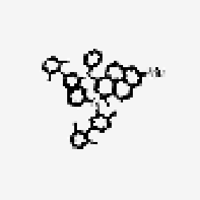 Cc1ccc(-c2c(C)cccc2C)cc1N(C1=CC(C)(N(c2ccccc2)c2cc(-c3c(C)cccc3C)ccc2C)C2C=Cc3cc(C(C)(C)C)cc4ccc1c2c34)c1ccccc1